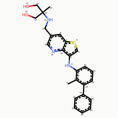 Cc1c(Nc2csc3cc(CNC(C)(CO)CO)cnc23)cccc1-c1ccccc1